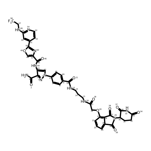 NC(=O)c1nn(-c2ccc(C(=O)NCCCNC(=O)COc3cccc4c3C(=O)N(C3CCC(=O)NC3=O)C4=O)cc2)cc1NC(=O)c1coc(-c2ccnc(NCC(F)(F)F)c2)n1